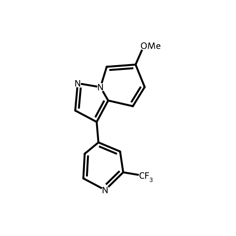 COc1ccc2c(-c3ccnc(C(F)(F)F)c3)cnn2c1